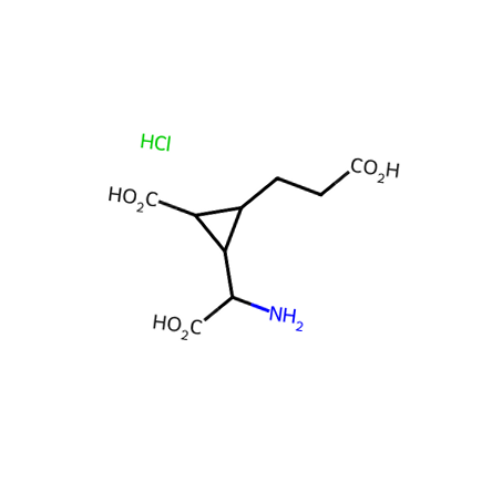 Cl.NC(C(=O)O)C1C(CCC(=O)O)C1C(=O)O